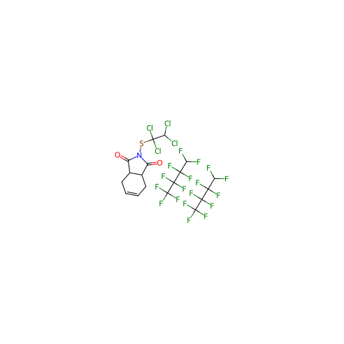 FC(F)C(F)(F)C(F)(F)C(F)(F)F.FC(F)C(F)(F)C(F)(F)C(F)(F)F.O=C1C2CC=CCC2C(=O)N1SC(Cl)(Cl)C(Cl)Cl